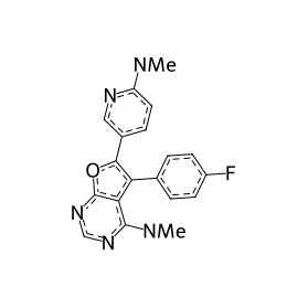 CNc1ccc(-c2oc3ncnc(NC)c3c2-c2ccc(F)cc2)cn1